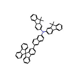 CC1(C)c2ccccc2-c2ccc(N(C3=CC4C(C=C3)c3ccccc3C4(C)C)c3ccc4cc(-c5ccc6c(c5)C5(c7ccccc7-c7ccccc75)c5ccccc5-6)ccc4c3)cc21